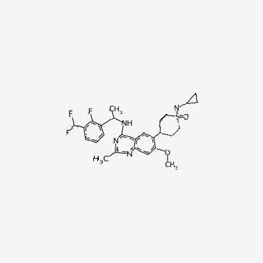 COc1cc2nc(C)nc(NC(C)c3cccc(C(F)F)c3F)c2cc1C1CCS(=O)(=NC2CC2)CC1